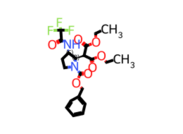 CCOC(=O)C(C(=O)OCC)[C@@H]1[C@@H](NC(=O)C(F)(F)F)CCN1C(=O)OCc1ccccc1